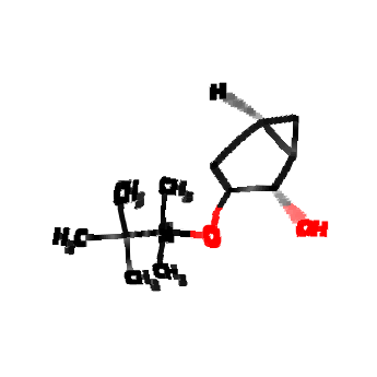 CC(C)(C)[Si](C)(C)OC1C[C@H]2CC2[C@@H]1O